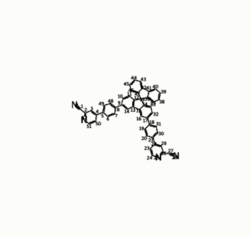 N#Cc1cc(-c2ccc(-c3ccc4c(c3)-c3cc(-c5ccc(-c6ccnc(C#N)c6)cc5)ccc3C43c4ccccc4-c4ccccc43)cc2)ccn1